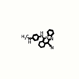 CNc1ccc(Nc2c3c(c(C#N)c4nc5ccccc5n24)CCCC3)cc1